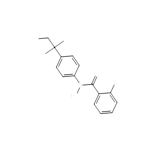 CC(=O)c1ccccc1C(=O)N(O)c1ccc(C(C)(C)CO)cc1